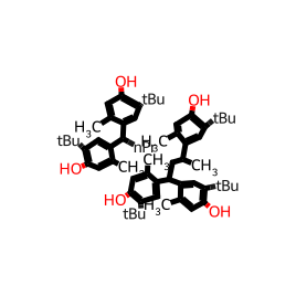 CCCC(c1cc(C(C)(C)C)c(O)cc1C)c1cc(C(C)(C)C)c(O)cc1C.Cc1cc(O)c(C(C)(C)C)cc1C(C)CC(c1cc(C(C)(C)C)c(O)cc1C)c1cc(C(C)(C)C)c(O)cc1C